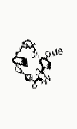 COc1ccc(-c2nnc(C(=O)N3CC(Oc4ccc(CN5CCC(C)(CO)C5)cc4)C3)o2)cc1